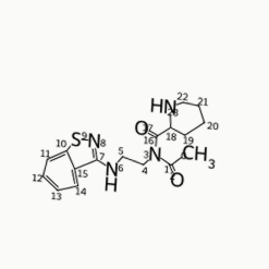 CC(=O)N(CCNc1nsc2ccccc12)C(=O)C1CCCCN1